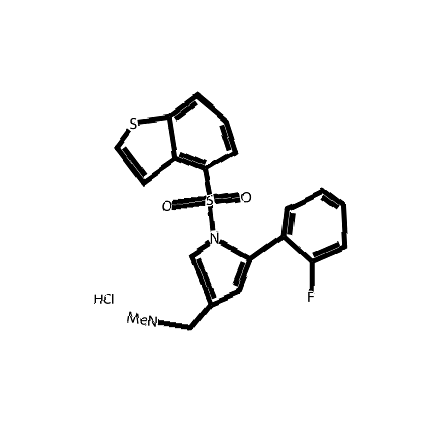 CNCc1cc(-c2ccccc2F)n(S(=O)(=O)c2cccc3sccc23)c1.Cl